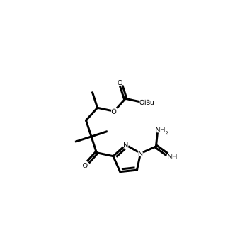 CC(C)COC(=O)OC(C)CC(C)(C)C(=O)c1ccn(C(=N)N)n1